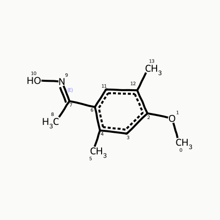 COc1cc(C)c(/C(C)=N/O)cc1C